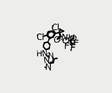 Cc1cc(N(C)C)nc(NC2CCC(c3cc(C4(C(=O)NOC(=O)C(F)(F)F)CC4)c(Cl)cc3Cl)CC2)n1